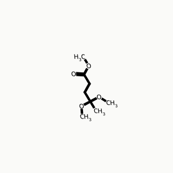 COC(=O)CCC(C)(OC)OC